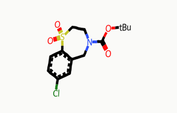 CC(C)(C)OC(=O)N1CCS(=O)(=O)c2ccc(Cl)cc2C1